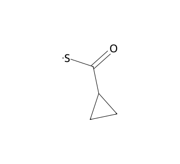 O=C([S])C1CC1